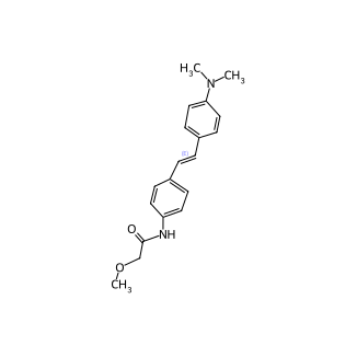 COCC(=O)Nc1ccc(/C=C/c2ccc(N(C)C)cc2)cc1